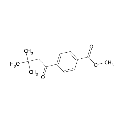 COC(=O)c1ccc(C(=O)CC(C)(C)C)cc1